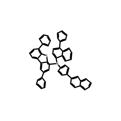 c1ccc(-c2cc(N(c3ccc(-c4ccc5ccccc5c4)cc3)c3ccc(-c4ccccc4)c4ccccc34)c3sc4c(-c5ccccc5)cccc4c3c2)cc1